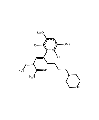 COc1cc(OC)c(Cl)c(/C(=C/C(=C/N)C(=N)N)CCCCN2CCNCC2)c1Cl